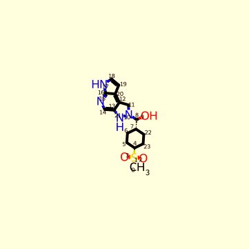 CS(=O)(=O)[C@H]1CC[C@H](C(O)N2Cc3c(cnc4[nH]ccc34)N2)CC1